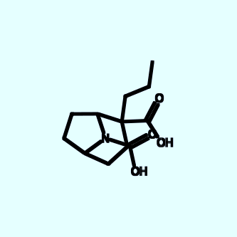 CCCC1(C(=O)O)CCC2CCC1N2C(=O)O